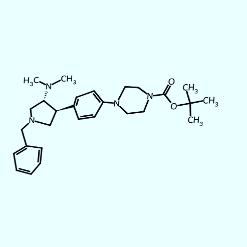 CN(C)[C@H]1CN(Cc2ccccc2)C[C@@H]1c1ccc(N2CCN(C(=O)OC(C)(C)C)CC2)cc1